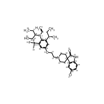 C=CN(c1c([C@H](C)CC)cc(OCCN2CCC3(CC2)C(=O)Nc2ccc(Cl)cc23)cc1C(F)(F)F)C(CC)CO